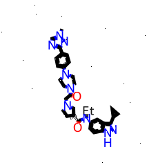 CCN(C(=O)[C@@H]1CCN(CC(=O)N2CCN(c3ccc(-c4ncn(C)n4)cc3)CC2)C1)c1ccc2[nH]nc(C3CC3)c2c1